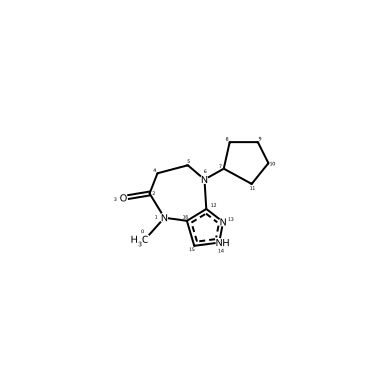 CN1C(=O)CCN(C2CCCC2)c2n[nH]cc21